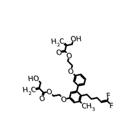 C=C(CO)C(=O)OCCOc1cccc(-c2cc(OCCOC(=O)C(=C)CO)cc(C)c2CCCC=C(F)F)c1